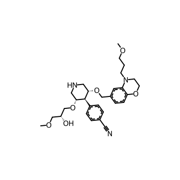 COCCCN1CCOc2ccc(CO[C@H]3CNC[C@@H](OC[C@H](O)COC)[C@@H]3c3ccc(C#N)cc3)cc21